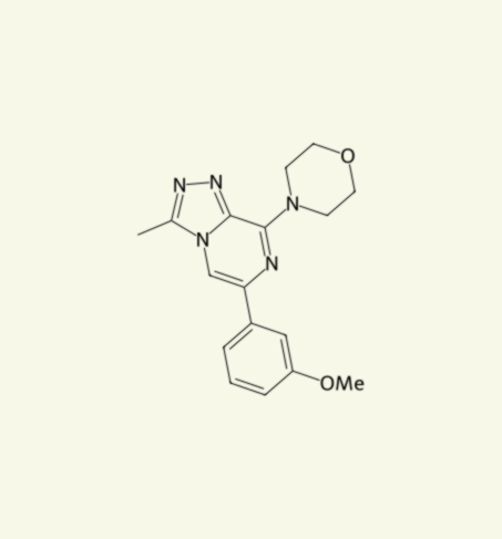 COc1cccc(-c2cn3c(C)nnc3c(N3CCOCC3)n2)c1